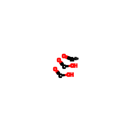 O=[C-]O.O=[C-]O.[O]=[Zr+2]